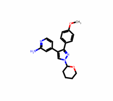 COc1ccc(-c2nn(C3CCCCO3)cc2-c2ccnc(N)c2)cc1